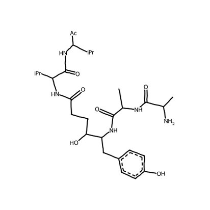 CC(=O)C(NC(=O)C(NC(=O)CCC(O)C(Cc1ccc(O)cc1)NC(=O)C(C)NC(=O)C(C)N)C(C)C)C(C)C